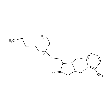 CCCCC[C@@H](CCC1C(=O)CC2Cc3c(C)cccc3CC21)OC